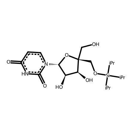 CC(C)[Si](OC[C@]1(CO)O[C@@H](n2ccc(=O)[nH]c2=O)[C@H](O)[C@@H]1O)(C(C)C)C(C)C